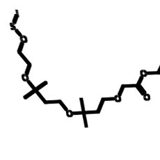 CCOC(=O)COCCC(C)(C)OCCC(C)(C)OCCOSI